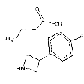 CCCC(=O)O.Fc1ccc(C2CNC2)cc1